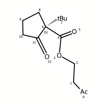 CC(=O)CCOC(=O)[C@]1(C(C)(C)C)CCCC1=O